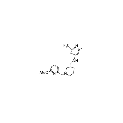 COc1cccc([C@@H](C)N2CCC[C@@H](CNc3cc(C)nc(C(F)(F)F)c3)C2)n1